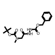 CN(CC(=O)NNC(=O)OCc1ccccc1)C(=O)OC(C)(C)C